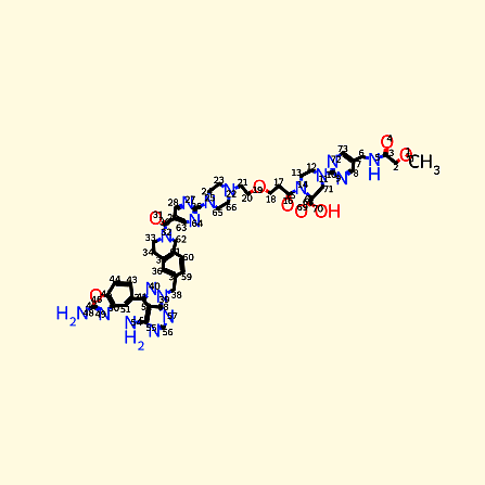 COCC(=O)NCc1cnc(N2CCN(C(=O)CCOCCN3CCN(c4ncc(C(=O)N5CCc6cc(Cn7nc(-c8ccc9oc(N)nc9c8)c8c(N)ncnc87)ccc6C5)cn4)CC3)[C@@H](C(=O)O)C2)nc1